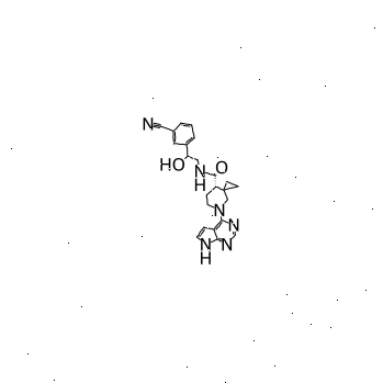 N#Cc1cccc(C(O)CNC(=O)[C@H]2CCN(c3ncnc4[nH]ccc34)CC23CC3)c1